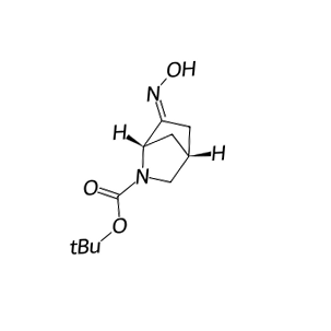 CC(C)(C)OC(=O)N1C[C@H]2CC(=NO)[C@@H]1C2